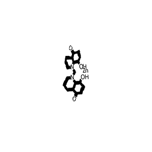 O=c1ccc(O)c2n(Cn3cccc4c(=O)ccc(O)c3-4)cccc1-2.[Zn]